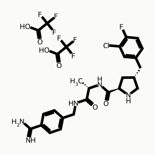 C[C@H](NC(=O)[C@H]1C[C@H](Cc2ccc(F)c(Cl)c2)CN1)C(=O)NCc1ccc(C(=N)N)cc1.O=C(O)C(F)(F)F.O=C(O)C(F)(F)F